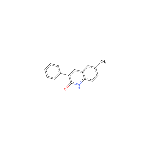 Cc1ccc2[nH]c(=O)c(-c3ccccc3)cc2c1